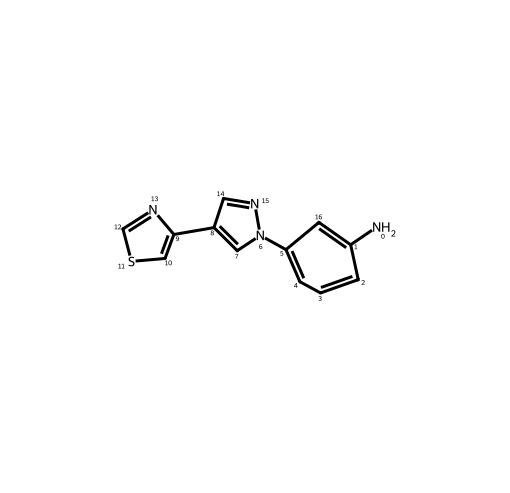 Nc1cccc(-n2cc(-c3cscn3)cn2)c1